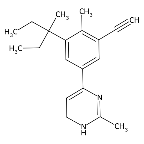 C#Cc1cc(C2=CCNC(C)=N2)cc(C(C)(CC)CC)c1C